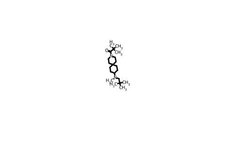 CN(CC(C)(C)C)C1CCC2(CC1)CCN(C(=O)C(C)(C)C)CC2